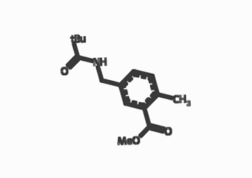 COC(=O)c1cc(CNC(=O)C(C)(C)C)ccc1C